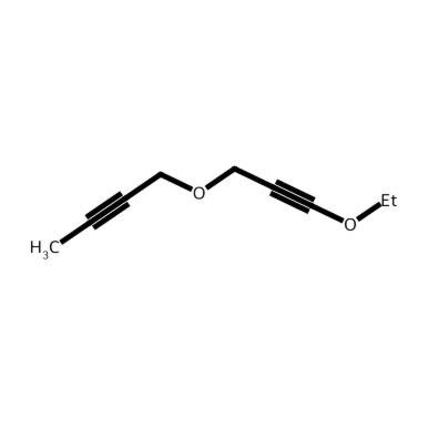 CC#CCOCC#COCC